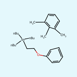 CCC[CH2][Sn]([CH2]CCC)([CH2]CCC)[CH2]COc1ccccc1.Cc1cccc(C)c1C